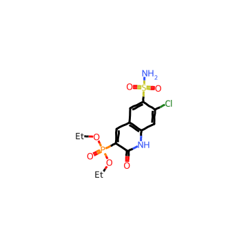 CCOP(=O)(OCC)c1cc2cc(S(N)(=O)=O)c(Cl)cc2[nH]c1=O